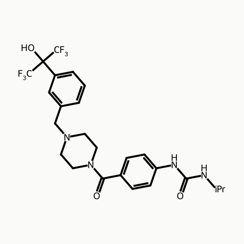 CC(C)NC(=O)Nc1ccc(C(=O)N2CCN(Cc3cccc(C(O)(C(F)(F)F)C(F)(F)F)c3)CC2)cc1